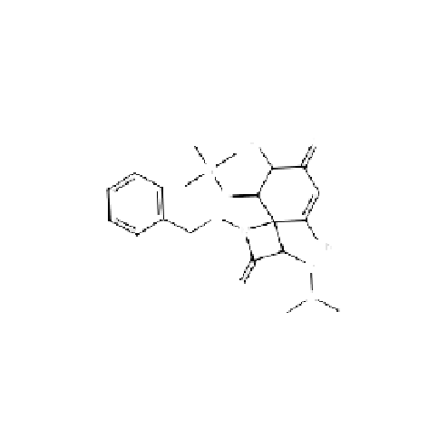 C[SiH](C)OC1C(=O)N(OCc2ccccc2)C12C(C#N)=CC(=O)C(C(C)(C)C)C2O[Si](C)(C)C